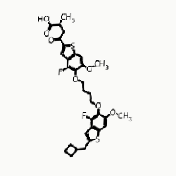 COc1cc2sc(CC3CCC3)cc2c(F)c1OCCCCOc1c(OC)cc2sc(C(=O)C[C@H](C)C(=O)O)cc2c1F